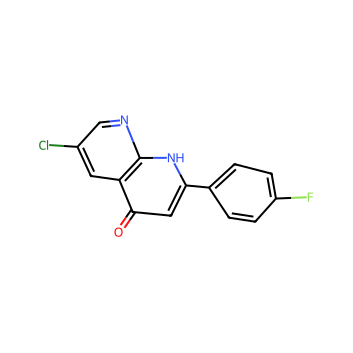 O=c1cc(-c2ccc(F)cc2)[nH]c2ncc(Cl)cc12